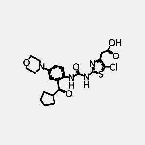 O=C(O)Cc1nc(NC(=O)Nc2ccc(N3CCOCC3)cc2C(=O)C2CCCC2)sc1Cl